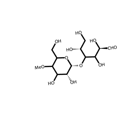 COC1C(CO)O[C@H](OC(C(O)[C@@H](O)C=O)[C@H](O)CO)[C@H](O)C1O